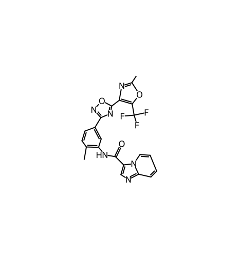 Cc1nc(-c2nc(-c3ccc(C)c(NC(=O)c4cnc5ccccn45)c3)no2)c(C(F)(F)F)o1